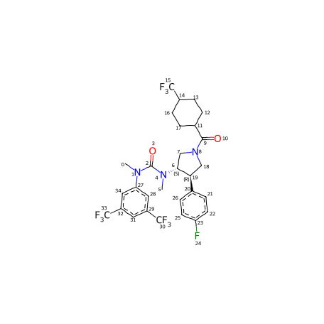 CN(C(=O)N(C)[C@@H]1CN(C(=O)C2CCC(C(F)(F)F)CC2)C[C@H]1c1ccc(F)cc1)c1cc(C(F)(F)F)cc(C(F)(F)F)c1